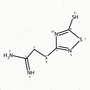 N=C(N)CSc1nsc(S)n1